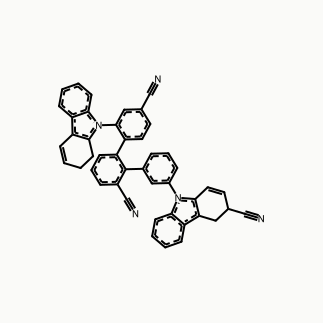 N#Cc1ccc(-c2cccc(C#N)c2-c2cccc(-n3c4c(c5ccccc53)CC(C#N)C=C4)c2)c(-n2c3c(c4ccccc42)C=CCC3)c1